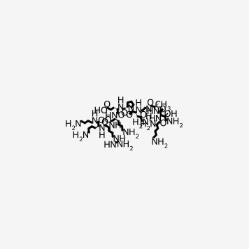 C[C@H](NC(=O)[C@@H](NC(=O)[C@@H](N)CCCCN)[C@@H](O)CN)C(=O)NCC(=O)N[C@H](CCCN)C(=O)N1CCC[C@H]1C(=O)N[C@@H](CCC(=O)O)C(=O)N[C@@H](CCCCN)C(=O)N/C(=C\CCNC(=N)N)C(=O)N[C@@H](CCCCN)C(=O)NCCCCN